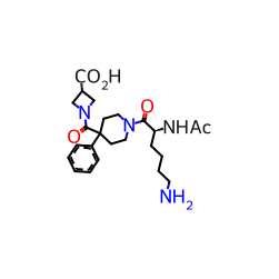 CC(=O)N[C@@H](CCCCN)C(=O)N1CCC(C(=O)N2CC(C(=O)O)C2)(c2ccccc2)CC1